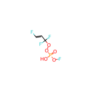 O=P(O)(OF)OOC(F)(F)C=CF